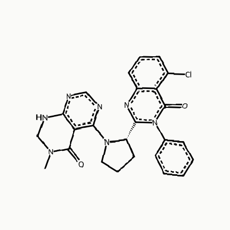 CN1CNc2ncnc(N3CCC[C@H]3c3nc4cccc(Cl)c4c(=O)n3-c3ccccc3)c2C1=O